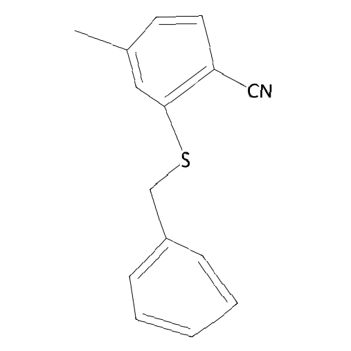 Cc1ccc(C#N)c(SCc2ccccc2)c1